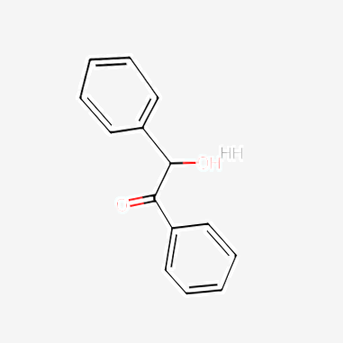 O=C(c1ccccc1)C(O)c1ccccc1.[HH]